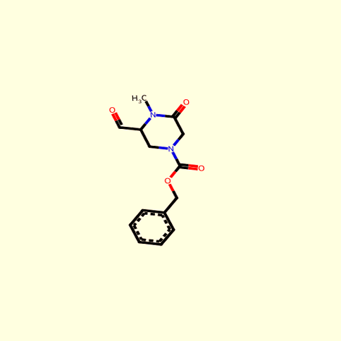 CN1C(=O)CN(C(=O)OCc2ccccc2)CC1C=O